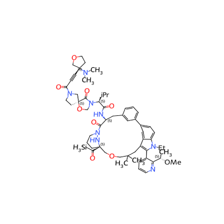 CCn1c(-c2cccnc2[C@H](C)OC)c2c3cc(ccc31)-c1cccc(c1)C[C@H](NC(=O)[C@H](C(C)C)N1CO[C@]3(CCN(C(=O)C#C[C@]4(N(C)C)CCOC4)C3)C1=O)C(=O)N1CCC[C@@](C(=O)[SiH3])(COCC(C)(C)C2)N1